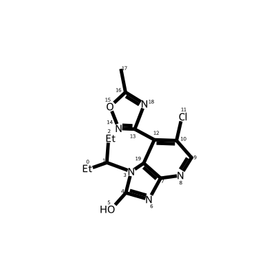 CCC(CC)n1c(O)nc2ncc(Cl)c(-c3noc(C)n3)c21